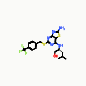 CC(C)C[C@H](CO)Nc1nc(SCc2ccc(C(F)(F)F)cc2)nc2nc(N)sc12